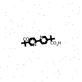 CC(C)(C(=O)O)c1ccc(-c2ccc(C(C)(C)C(=O)O)cn2)nc1